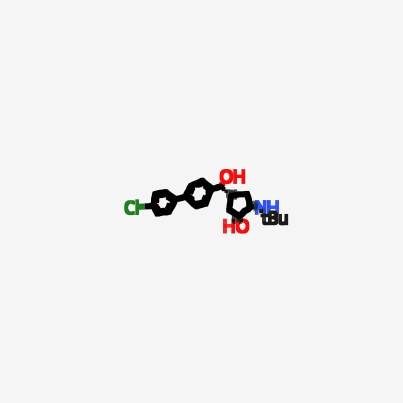 CC(C)(C)N[C@@H]1C[C@@H](C(O)c2ccc(-c3ccc(Cl)cc3)cc2)C[C@H]1O